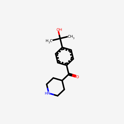 CC(C)(O)c1ccc(C(=O)C2CCNCC2)cc1